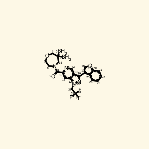 BC1(B)COCCN(C(=O)c2cc3c(cn2)c(-c2coc4ccccc24)nn3CC(F)(F)F)C1